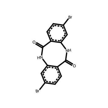 O=C1Nc2cc(Br)ccc2C(=O)Nc2cc(Br)ccc21